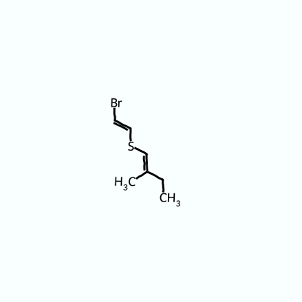 CC/C(C)=C/S/C=C/Br